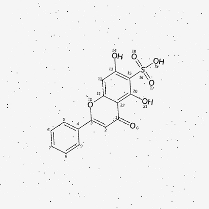 O=c1cc(-c2ccccc2)oc2cc(O)c(S(=O)(=O)O)c(O)c12